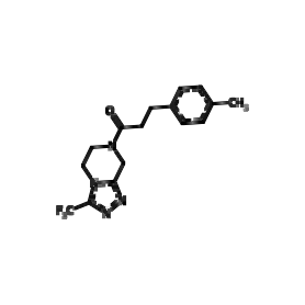 Cc1ccc(CCC(=O)N2CCn3c(nnc3C(F)(F)F)C2)cc1